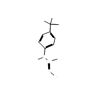 CN(c1ccc(C(F)(F)F)cc1)/[N+]([O-])=N/O